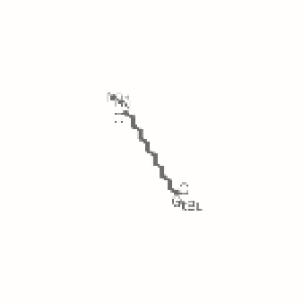 CC(C)(C)OC(=O)CCCCCCCCCCCCC(=O)N=[N+]=[N-]